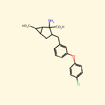 NC1(C(=O)O)C(Cc2cccc(Oc3ccc(Cl)cc3)c2)CC2C(C(=O)O)C21